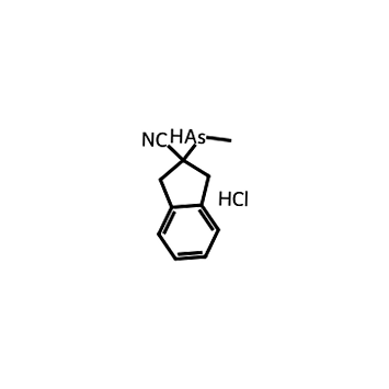 C[AsH]C1(C#N)Cc2ccccc2C1.Cl